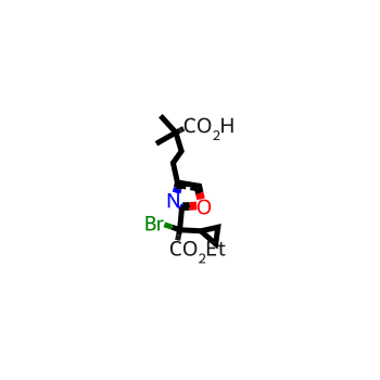 CCOC(=O)C(Br)(c1nc(CCC(C)(C)C(=O)O)co1)C1CC1